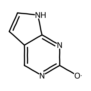 [O]c1ncc2cc[nH]c2n1